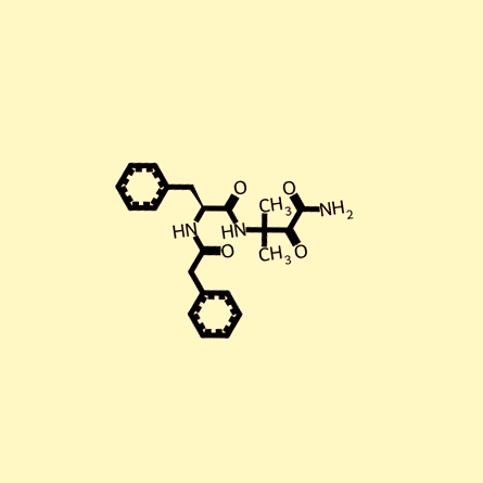 CC(C)(NC(=O)[C@H](Cc1ccccc1)NC(=O)Cc1ccccc1)C(=O)C(N)=O